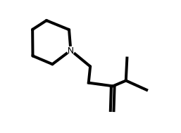 C=C(CCN1CCCCC1)C(C)C